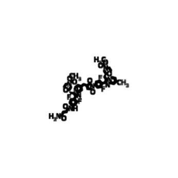 COC(=O)N1CCO[C@@H](Cc2c(-c3c(F)cc(N4C(=O)C=C(Cc5ccn6c(C[C@H]7CN(C(=O)OC)CCO7)c(-c7c(F)cc(NC(=O)/C=C/C(N)=O)cc7F)nc6c5)C4=O)cc3F)nc3cc(C)ccn23)C1